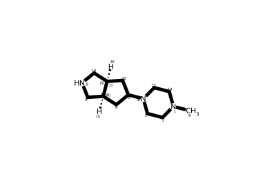 CN1CCN(C2C[C@H]3CNC[C@H]3C2)CC1